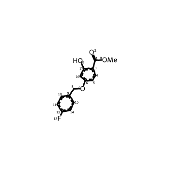 COC(=O)c1ccc(OCc2ccc(F)cc2)cc1O